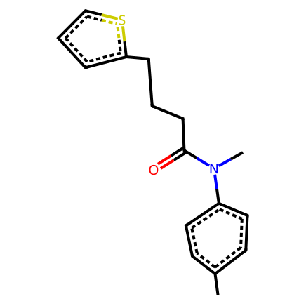 Cc1ccc(N(C)C(=O)CCCc2cccs2)cc1